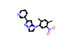 Cc1cc(C)c([N+](=O)[O-])cc1-n1ccn2nc(-c3cccnc3)cc12